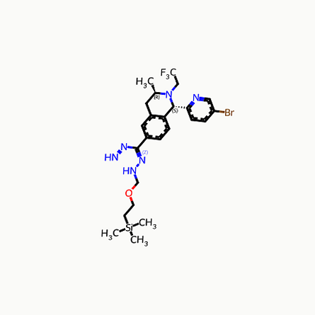 C[C@@H]1Cc2cc(/C(N=N)=N/NCOCC[Si](C)(C)C)ccc2[C@@H](c2ccc(Br)cn2)N1CC(F)(F)F